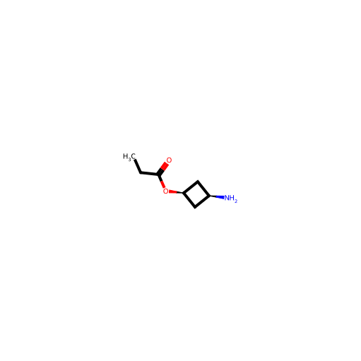 CCC(=O)O[C@H]1C[C@@H](N)C1